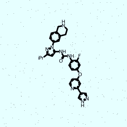 CC(C)c1cc(NC(=O)Nc2ccc(Oc3ccnc(-c4cn[nH]c4)c3)cc2F)n(-c2ccc3c(c2)CCNC3)n1